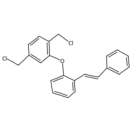 ClCc1ccc(CCl)c(Oc2ccccc2C=Cc2ccccc2)c1